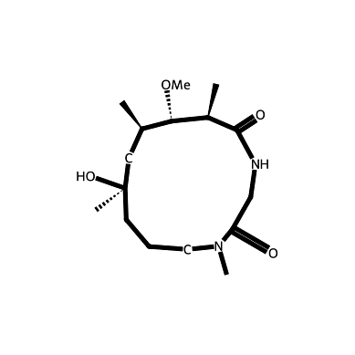 CO[C@H]1[C@H](C)C[C@](C)(O)CCCN(C)C(=O)CNC(=O)[C@@H]1C